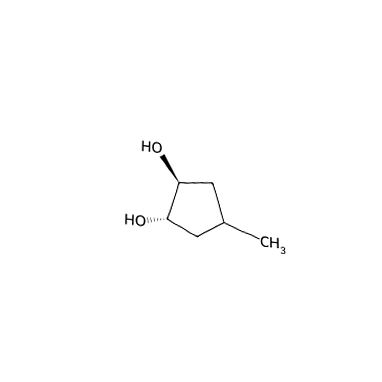 CC1C[C@H](O)[C@@H](O)C1